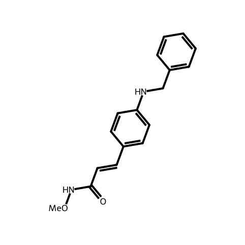 CONC(=O)/C=C/c1ccc(NCc2ccccc2)cc1